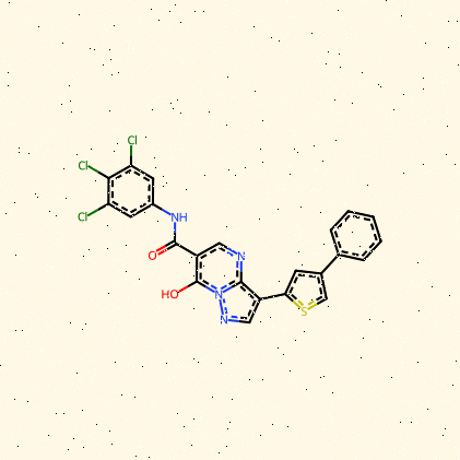 O=C(Nc1cc(Cl)c(Cl)c(Cl)c1)c1cnc2c(-c3cc(-c4ccccc4)cs3)cnn2c1O